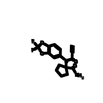 C#CC(=O)N(c1ccc2c(c1)OC(F)(F)O2)C1(C(N)=O)CCCC1